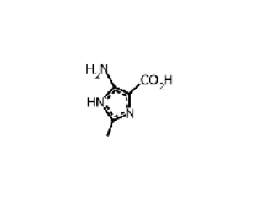 Cc1nc(C(=O)O)c(N)[nH]1